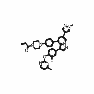 C=CC(=O)N1CCN(c2ccc(-c3cc(-c4cnn(C)c4)cn4ncc(-c5ccc(Oc6nccc(C)n6)c(F)c5)c34)cc2)CC1